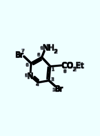 CCOC(=O)c1c(Br)cnc(Br)c1N